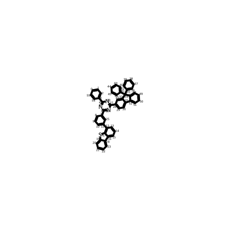 c1ccc(-c2nc(-c3cccc(-c4cccc5c4sc4ccccc45)c3)nc(-c3ccc4c(c3)C(c3ccccc3)(c3ccccc3)c3ccccc3-4)n2)cc1